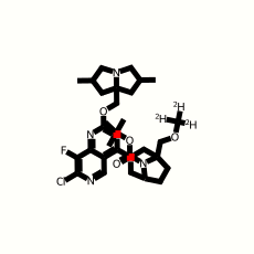 [2H]C([2H])([2H])OCC12CCC(CN(c3nc(OCC45CC(C)CN4CC(C)C5)nc4c(F)c(Cl)ncc34)C1)N2C(=O)OC(C)(C)C